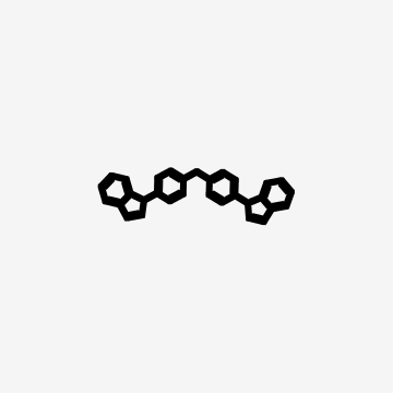 C1=CC(c2ccc(Cc3ccc(C4C=Cc5ccccc54)cc3)cc2)c2ccccc21